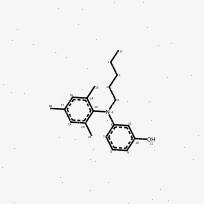 CCCCCN(c1cccc(O)c1)c1c(C)cc(C)cc1C